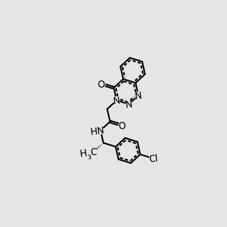 C[C@H](NC(=O)Cn1nnc2ccccc2c1=O)c1ccc(Cl)cc1